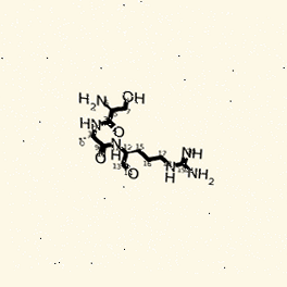 C[C@H](NC(=O)[C@@H](N)CO)C(=O)N[C@H](C=O)CCCNC(=N)N